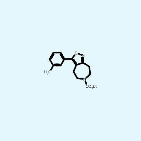 CCOC(=O)N1CCc2noc(-c3cccc(C)c3)c2CC1